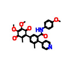 COC1=C(OC)C(=O)C(c2cc(C)c(-c3ccncc3)c(C(=O)Nc3ccc(OC)cc3)c2)=C(C)C1=O